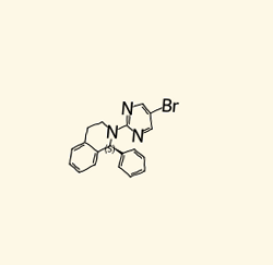 Brc1cnc(N2CCc3ccccc3[C@@H]2c2ccccc2)nc1